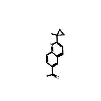 CC(=O)c1ccc2nc(C3(C)CC3)ccc2c1